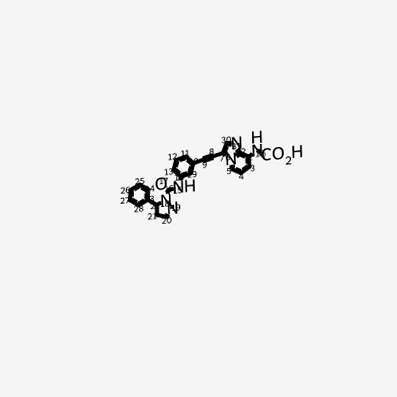 O=C(O)Nc1cccn2c(C#Cc3cccc(NC(=O)N4N=CCC4c4ccccc4)c3)cnc12